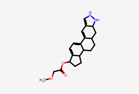 COCC(=O)OC1CCC2C1=CC=C1C3=CC4=CNNC4CC3CCC12